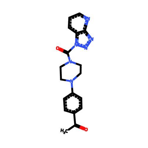 CC(=O)c1ccc(N2CCN(C(=O)n3nnc4ncccc43)CC2)cc1